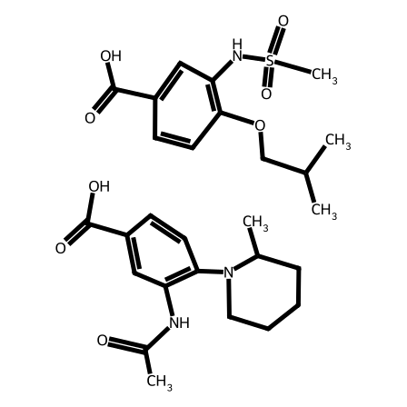 CC(=O)Nc1cc(C(=O)O)ccc1N1CCCCC1C.CC(C)COc1ccc(C(=O)O)cc1NS(C)(=O)=O